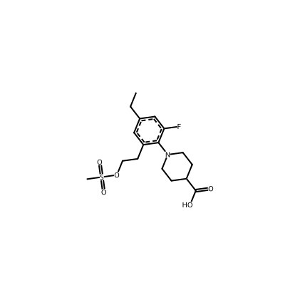 CCc1cc(F)c(N2CCC(C(=O)O)CC2)c(CCOS(C)(=O)=O)c1